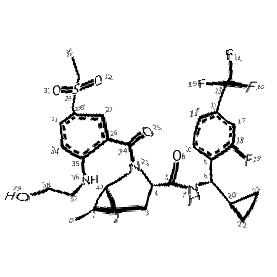 C[C@@H]1C2C[C@H](C(=O)N[C@@H](c3ccc(C(F)(F)F)cc3F)C3CC3)N(C(=O)c3cc(S(C)(=O)=O)ccc3NCCO)C21